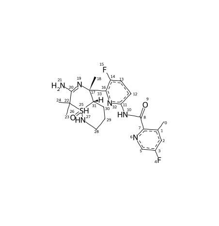 Cc1cc(F)cnc1C(=O)Nc1ccc(F)c([C@@]2(C)N=C(N)C(C)(C)[SH]3(=O)NCCC[C@@H]23)n1